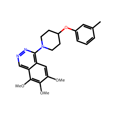 COc1cc2c(N3CCC(Oc4cccc(C)c4)CC3)nncc2c(OC)c1OC